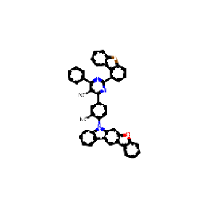 N#Cc1cc(-c2nc(-c3cccc4sc5ccccc5c34)nc(-c3ccccc3)c2C#N)ccc1-n1c2ccccc2c2cc3c(cc21)oc1ccccc13